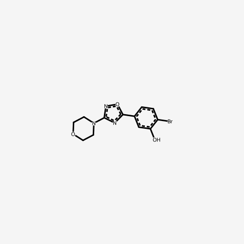 Oc1cc(-c2nc(N3CCOCC3)no2)ccc1Br